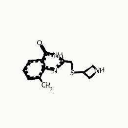 Cc1cccc2c(=O)[nH]c(CSC3CNC3)nc12